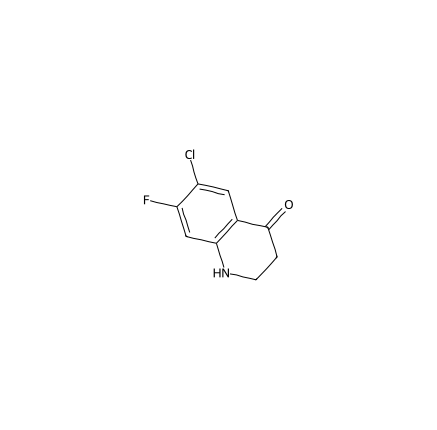 O=C1CCNc2cc(F)c(Cl)cc21